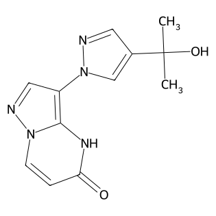 CC(C)(O)c1cnn(-c2cnn3ccc(=O)[nH]c23)c1